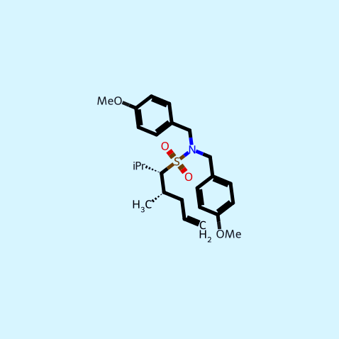 C=CC[C@H](C)[C@H](C(C)C)S(=O)(=O)N(Cc1ccc(OC)cc1)Cc1ccc(OC)cc1